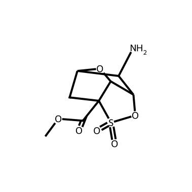 COC(=O)C12CC3OC1C(OS2(=O)=O)C3N